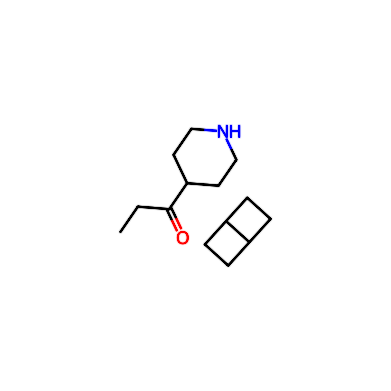 C1CC2CCC12.CCC(=O)C1CCNCC1